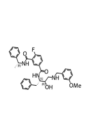 COc1cccc(CNC[C@@H](O)[C@H](Cc2ccccc2)NC(=O)c2ccc(F)c(C(=O)N[C@H](C)c3ccccc3)c2)c1